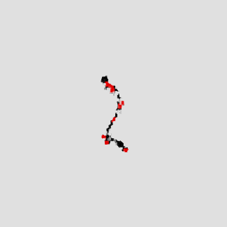 Cc1ncsc1-c1ccc(CNC(=O)[C@@H]2C[C@@H](O)CN2C(=O)C(NC(=O)CCCCCCCCCNC(=O)CN2CCN(CCCNC(=O)c3c(C)[nH]c(/C=C4\C(=O)Nc5ccc(F)cc54)c3C)CC2)C(C)(C)C)cc1